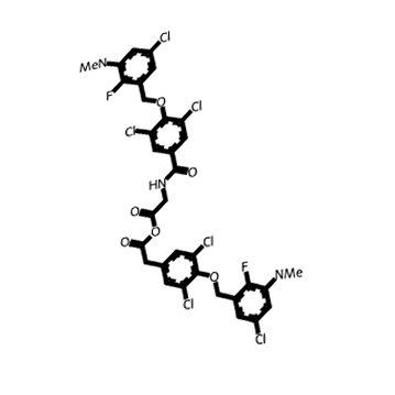 CNc1cc(Cl)cc(COc2c(Cl)cc(CC(=O)OC(=O)CNC(=O)c3cc(Cl)c(OCc4cc(Cl)cc(NC)c4F)c(Cl)c3)cc2Cl)c1F